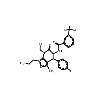 CCCn1nc(C)c2c1N(CC)C(=O)C(NC(=O)c1cccc(C(F)(F)F)c1)C2c1ccc(F)cc1